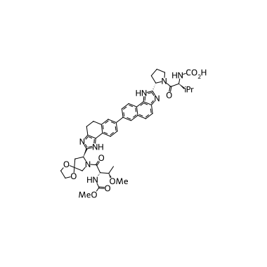 COC(=O)N[C@H](C(=O)N1CC2(C[C@H]1c1nc3c([nH]1)-c1ccc(-c4ccc5c(ccc6nc([C@@H]7CCCN7C(=O)[C@@H](NC(=O)O)C(C)C)[nH]c65)c4)cc1CC3)OCCO2)[C@@H](C)OC